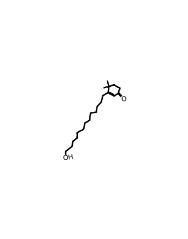 CC1(C)CCC(=O)C=C1CCCCCCCCCCCCCO